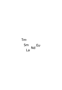 [Eu].[La].[Nd].[Sm].[Tm]